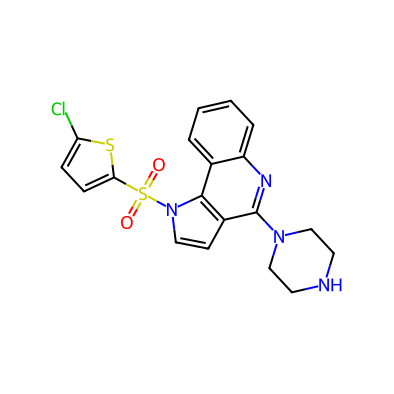 O=S(=O)(c1ccc(Cl)s1)n1ccc2c(N3CCNCC3)nc3ccccc3c21